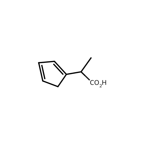 CC(C(=O)O)C1=CC=CC1